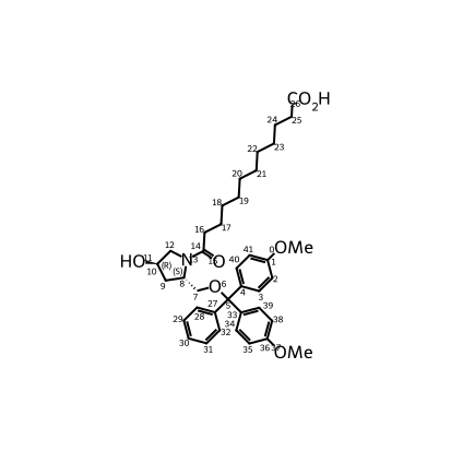 COc1ccc(C(OC[C@@H]2C[C@@H](O)CN2C(=O)CCCCCCCCCCC(=O)O)(c2ccccc2)c2ccc(OC)cc2)cc1